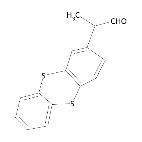 CC(C=O)c1ccc2c(c1)Sc1ccccc1S2